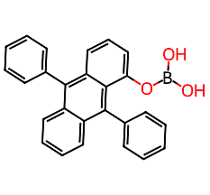 OB(O)Oc1cccc2c(-c3ccccc3)c3ccccc3c(-c3ccccc3)c12